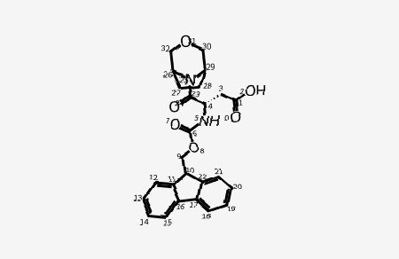 O=C(O)C[C@H](NC(=O)OCC1c2ccccc2-c2ccccc21)C(=O)N1C2CCC1COC2